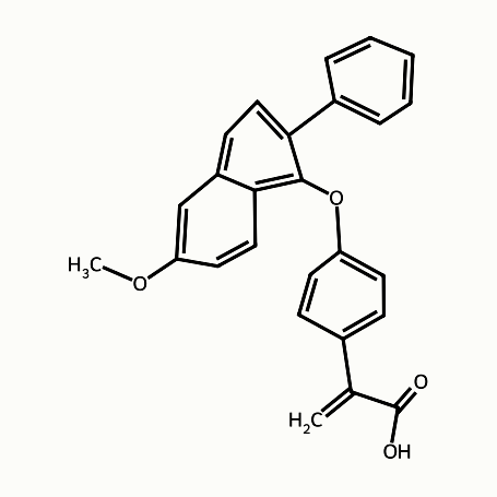 C=C(C(=O)O)c1ccc(Oc2c(-c3ccccc3)ccc3cc(OC)ccc23)cc1